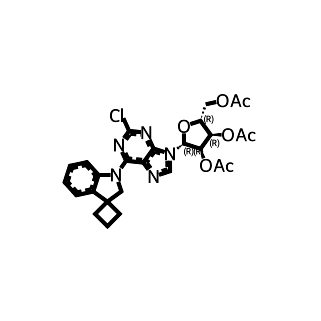 CC(=O)OC[C@H]1O[C@@H](n2cnc3c(N4CC5(CCC5)c5ccccc54)nc(Cl)nc32)[C@H](OC(C)=O)[C@@H]1OC(C)=O